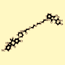 CCc1cc2c(cc1N1CCC(NC(=O)CCOCCOCCOCCNc3cccc4c3C(=O)N(C3CCC(=O)NC3=O)C4=O)CC1)C(C)(C)c1[nH]c3cc(C#N)ccc3c1C2=O